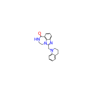 O=C1NCCn2c(CN3CCCc4ccccc43)nc3cccc1c32